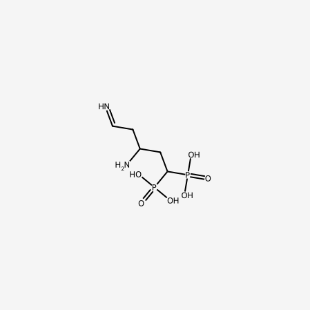 N=CCC(N)CC(P(=O)(O)O)P(=O)(O)O